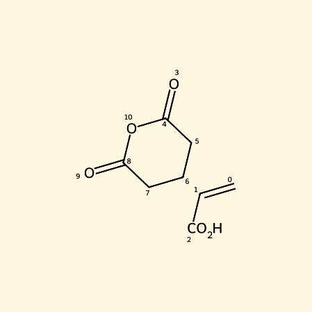 C=CC(=O)O.O=C1CCCC(=O)O1